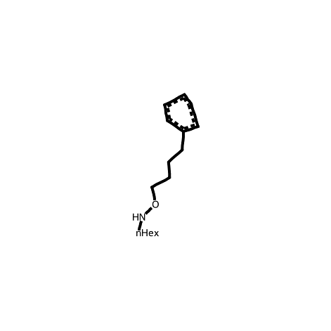 CCCCCCNOCCCCc1ccccc1